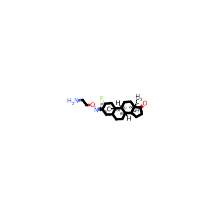 C[C@]12C[C@@H](F)C(=NOCCN)CC1CC[C@@H]1[C@@H]2CC[C@]2(C)C(=O)CC[C@@H]12